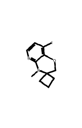 CN1c2nccc(I)c2OCC12CCC2